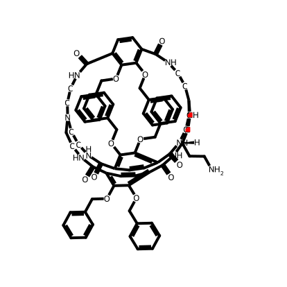 NCC[C@H]1CNC2CCNC(=O)c3ccc(c(OCc4ccccc4)c3OCc3ccccc3)C(=O)NCCN(CCNC(=O)c3ccc(c(OCc4ccccc4)c3OCc3ccccc3)C(=O)NCC2)CCNC(=O)c2ccc(c(OCc3ccccc3)c2OCc2ccccc2)C(=O)N1